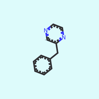 [c]1nccnc1Cc1ccccc1